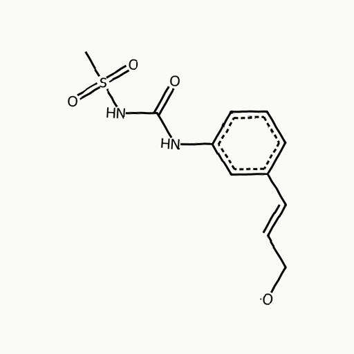 CS(=O)(=O)NC(=O)Nc1cccc(C=CC[O])c1